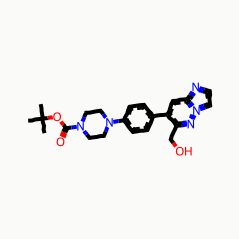 CC(C)(C)OC(=O)N1CCN(c2ccc(-c3cc4nccn4nc3CO)cc2)CC1